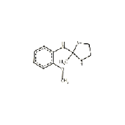 COc1ccccc1NC1(C)NCCS1